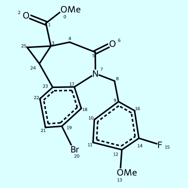 COC(=O)C12CC(=O)N(Cc3ccc(OC)c(F)c3)c3cc(Br)ccc3C1C2